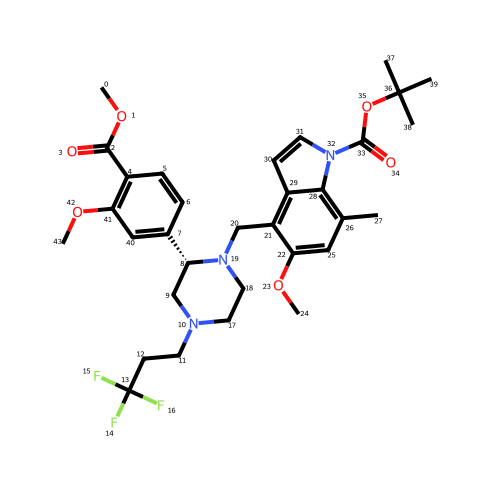 COC(=O)c1ccc([C@H]2CN(CCC(F)(F)F)CCN2Cc2c(OC)cc(C)c3c2ccn3C(=O)OC(C)(C)C)cc1OC